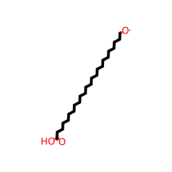 [O]CCCCCCCCCCCCCCCCCCCCCCCC(=O)O